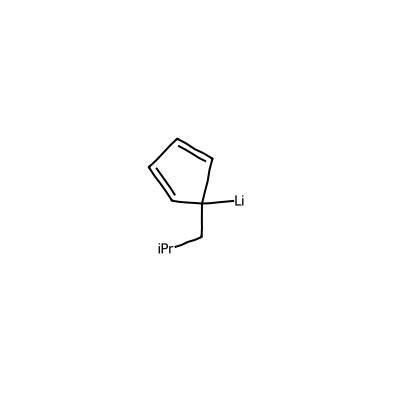 [Li][C]1(CC(C)C)C=CC=C1